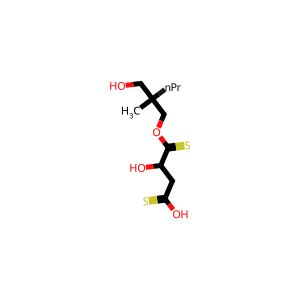 CCCC(C)(CO)COC(=S)C(O)CC(O)=S